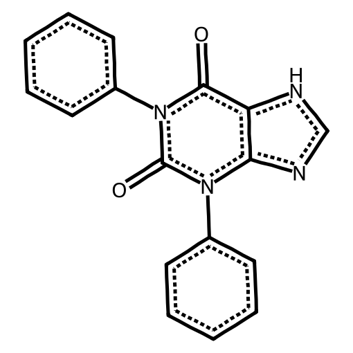 O=c1c2[nH]cnc2n(-c2ccccc2)c(=O)n1-c1ccccc1